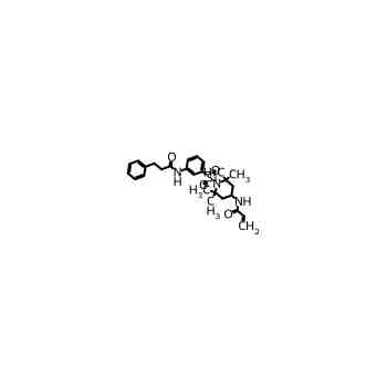 C=CC(=O)NC1CC(C)(C)N(S(=O)(=O)c2cccc(NC(=O)CCc3ccccc3)c2)C(C)(C)C1